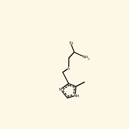 CCC(N)CSCc1nc[nH]c1C